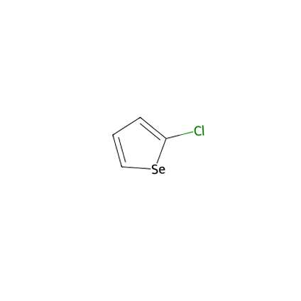 Clc1ccc[se]1